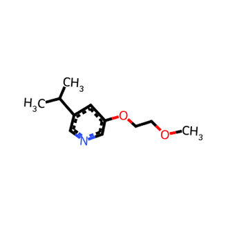 COCCOc1cncc(C(C)C)c1